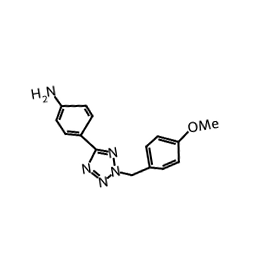 COc1ccc(Cn2nnc(-c3ccc(N)cc3)n2)cc1